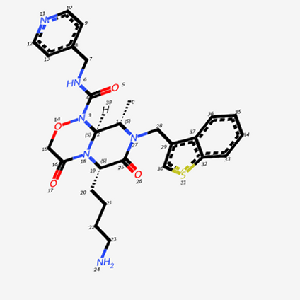 C[C@H]1[C@@H]2N(C(=O)NCc3ccncc3)OCC(=O)N2[C@@H](CCCCN)C(=O)N1Cc1csc2ccccc12